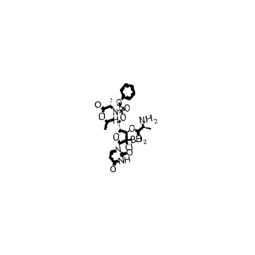 B[C@]1(Cl)[C@H](OC(=O)[C@H](C)N)[C@@H](CO[P@@](=O)(N[C@@H](C)C(=O)OC(C)C)Oc2ccccc2)O[C@H]1n1ccc(=O)[nH]c1=O